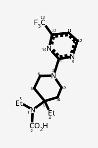 CCN(C(=O)O)C1(CC)CCN(c2nccc(C(F)(F)F)n2)CC1